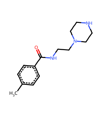 Cc1ccc(C(=O)NCCN2CCNCC2)cc1